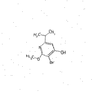 COc1nc(C(C)C)cc(O)c1Br